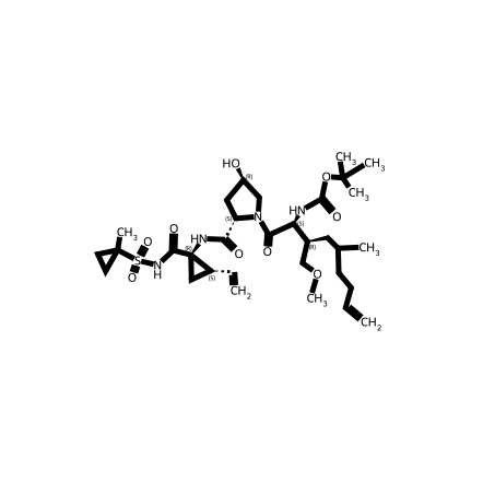 C=CCCC(C)C[C@@H](COC)[C@H](NC(=O)OC(C)(C)C)C(=O)N1C[C@H](O)C[C@H]1C(=O)N[C@]1(C(=O)NS(=O)(=O)C2(C)CC2)C[C@H]1C=C